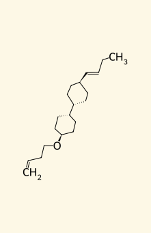 C=CCCO[C@H]1CC[C@H]([C@H]2CC[C@H](C=CCC)CC2)CC1